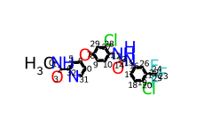 CNC(=O)c1cc(Oc2ccc(NC(=O)Nc3ccc(Cl)c(C(F)(F)F)c3)c(Cl)c2)ccn1